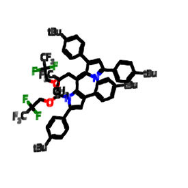 CC(C/C(=C1/N=C(c2ccc(C(C)(C)C)cc2)C=C1c1ccc(C(C)(C)C)cc1)c1c(-c2ccc(C(C)(C)C)cc2)cc(-c2ccc(C(C)(C)C)cc2)n1B(OCC(F)(F)C(F)(F)F)OCC(F)(F)C(F)(F)F)C(F)(F)F